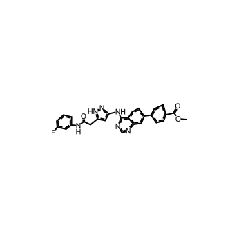 COC(=O)c1ccc(-c2ccc3c(Nc4cc(CC(=O)Nc5cccc(F)c5)[nH]n4)ncnc3c2)cc1